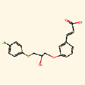 O=C(O)C=Cc1cccc(OCC(O)CSc2ccc(Cl)cc2)c1